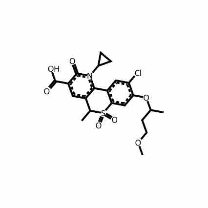 COCCC(C)Oc1cc2c(cc1Cl)-c1c(cc(C(=O)O)c(=O)n1C1CC1)C(C)S2(=O)=O